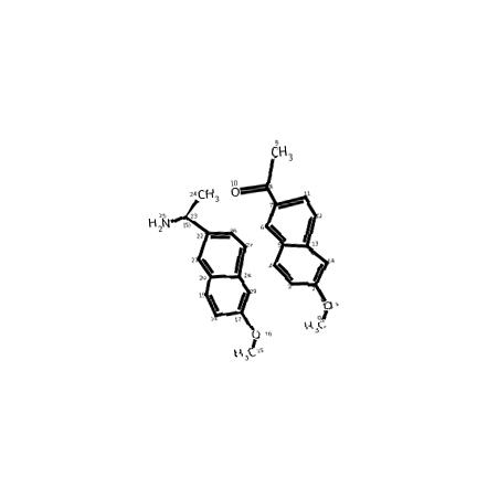 COc1ccc2cc(C(C)=O)ccc2c1.COc1ccc2cc([C@H](C)N)ccc2c1